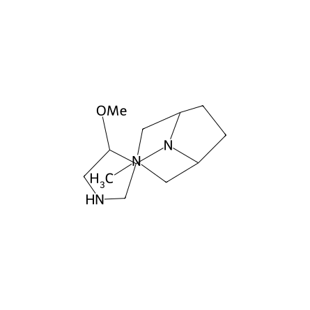 COC1CNCC1N1C2CCC1CN(C)C2